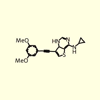 COc1cc(C#CC2=CSC3=C(NC4CC4)N=CNC23)cc(OC)c1